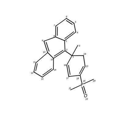 CC1(c2c3ccccc3cc3ccccc23)C=CC(P(C)(C)=O)=CC1